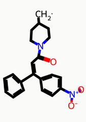 [CH2]C1CCN(C(=O)C=C(c2ccccc2)c2ccc([N+](=O)[O-])cc2)CC1